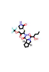 CCCC(O)C(=O)N1C[C@@H]2CCC[C@@H]2[C@H]1C(=O)NC(C[C@@H]1CCNC1=O)C(=O)COC(F)(F)F